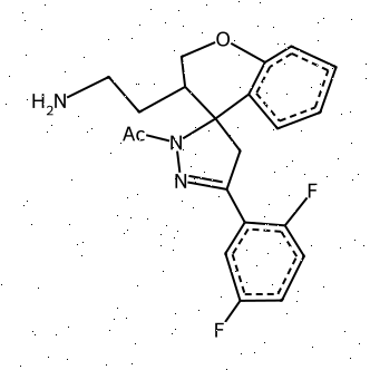 CC(=O)N1N=C(c2cc(F)ccc2F)CC12c1ccccc1OCC2CCN